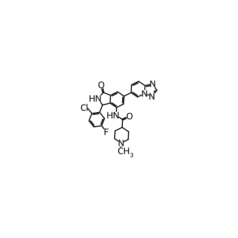 CN1CCC(C(=O)Nc2cc(-c3ccc4ncnn4c3)cc3c2C(c2cc(F)ccc2Cl)NC3=O)CC1